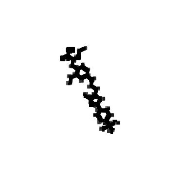 CCO[C@@H](Cc1ccc(OCCc2sc(-c3ccc(C(F)(F)F)cc3)nc2C)cc1CC)C(=O)O